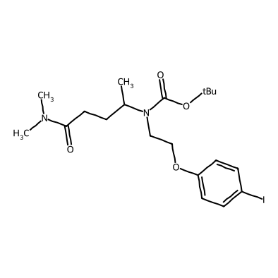 CC(CCC(=O)N(C)C)N(CCOc1ccc(I)cc1)C(=O)OC(C)(C)C